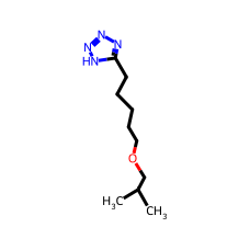 C[C](C)COCCCCCc1nnn[nH]1